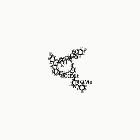 CCOC(=O)[C@H]1Cc2cc(ccc2OCc2ccnc(-c3ccccc3OC)n2)CC[C@@H](COS(=O)(=O)c2ccc(C)cc2)Oc2ccc(c(C)c2Cl)-c2c(-c3ccc(F)cc3)sc3ncnc(c23)O1